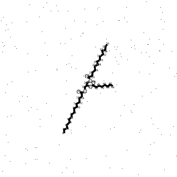 CCCCCCCCCCCCCCCC(=O)OCC(COC(=O)CCCCCCCCCCCCC)OC(=O)CCCCCCC